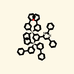 c1ccc(-c2cccc([Si](c3ccccc3)(c3cccc(-c4ccccc4)c3)c3cc(-c4cc(-c5ccccc5)nc(-c5ccccc5)n4)cc([Si](c4ccccc4)(c4cccc(-c5ccccc5)c4)c4cccc(-c5ccccc5)c4)c3)c2)cc1